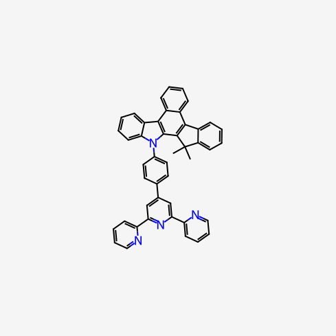 CC1(C)c2ccccc2-c2c1c1c(c3ccccc23)c2ccccc2n1-c1ccc(-c2cc(-c3ccccn3)nc(-c3ccccn3)c2)cc1